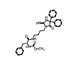 COC(=O)N[C@@H](Cc1ccccc1)C(=O)NCCCCN1C(=N)NC(c2ccccc2)(c2ccccc2)C1=O